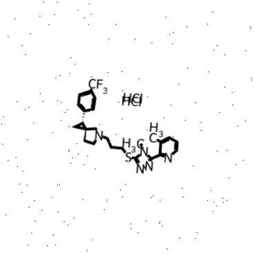 Cc1cccnc1-c1nnc(SCCCN2CC[C@]3(C[C@@H]3c3ccc(C(F)(F)F)cc3)C2)n1C.Cl.Cl